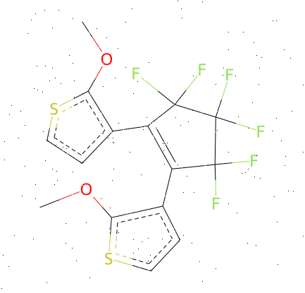 COc1sccc1C1=C(c2ccsc2OC)C(F)(F)C(F)(F)C1(F)F